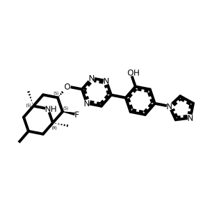 CC1C[C@@]2(C)C[C@H](Oc3ncc(-c4ccc(-n5ccnc5)cc4O)nn3)[C@@H](F)[C@@](C)(C1)N2